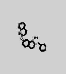 O[C@H]1c2cc(Oc3ccc4ccccc4n3)ccc2CC[C@H]1Cc1ccccc1